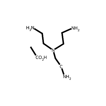 CC(=O)O.NCCN(CCN)CCN